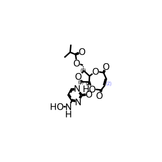 CC(C)C(=O)OC[C@H]1O[C@@H](n2ccc(NO)nc2=O)[C@H]2OC(=O)/C=C\C(=O)OC12